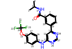 CC(C)NC(=O)c1cccc(-c2cc(Nc3ccc(OC(F)(F)F)cc3)ncn2)c1